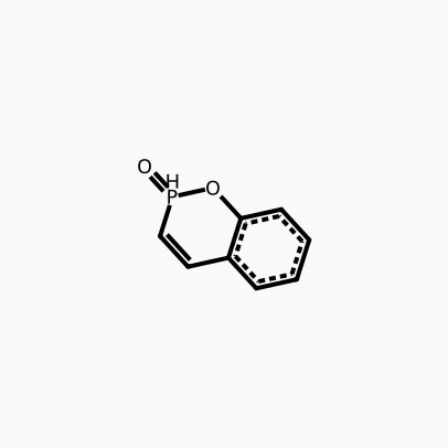 O=[PH]1C=Cc2ccccc2O1